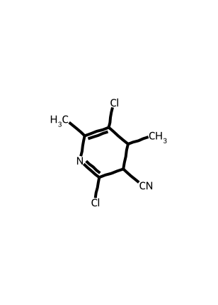 CC1=C(Cl)C(C)C(C#N)C(Cl)=N1